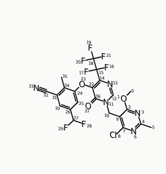 COc1nc(C)nc(Cl)c1Cn1cnc(C(F)(F)C(F)(F)F)c(Oc2cc(C(F)F)cc(C#N)c2C)c1=O